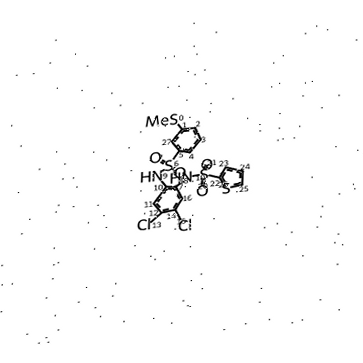 CSc1cccc(S(=O)(=O)Nc2cc(Cl)c(Cl)cc2NS(=O)(=O)c2cccs2)c1